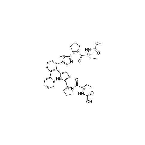 CC[C@@H](NC(=O)O)C(=O)N1CCC[C@H]1c1ncc(-c2cccc(-c3ccccc3)c2-c2cnc([C@@H]3CCCN3C(=O)[C@@H](CC)NC(=O)O)[nH]2)[nH]1